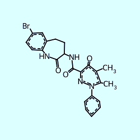 Cc1c(C)n(-c2ccccc2)nc(C(=O)NC2CCc3cc(Br)ccc3NC2=O)c1=O